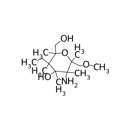 CCC1(C)C(C)(CO)OC(C)(COC)C(C)(N)C1(C)O